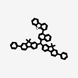 CC1(C)c2cc(-c3ccccc3)ccc2-c2ccc(C(c3ccc4c(c3)C(C)(C)c3cc(-c5ccccc5)ccc3-4)c3ccc(-c4cccc5c4oc4ccccc45)c4ccccc34)cc21